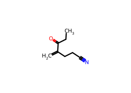 C=C(CCC#N)C(=O)CC